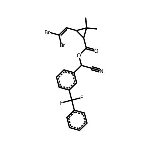 CC1(C)C(C=C(Br)Br)C1C(=O)OC(C#N)c1cccc(C(F)(F)c2ccccc2)c1